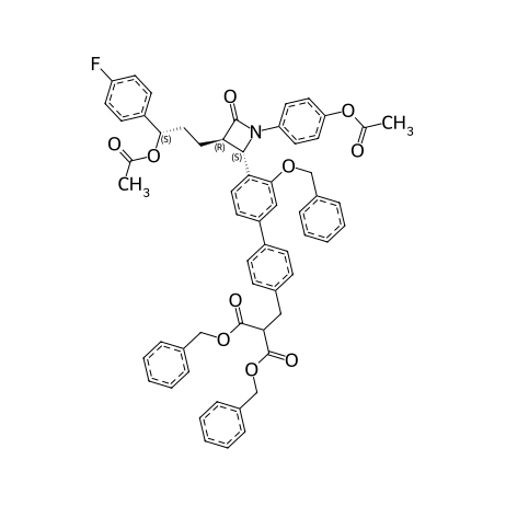 CC(=O)Oc1ccc(N2C(=O)[C@H](CC[C@H](OC(C)=O)c3ccc(F)cc3)[C@H]2c2ccc(-c3ccc(CC(C(=O)OCc4ccccc4)C(=O)OCc4ccccc4)cc3)cc2OCc2ccccc2)cc1